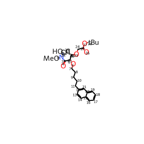 CON(C)C(=O)[C@H](OCCCCCc1ccc2ccccc2c1)[C@@H](OCC(=O)OC(C)(C)C)C(=O)O